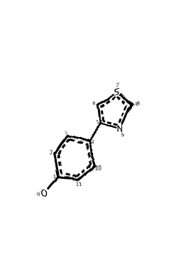 [O]c1ccc(-c2cscn2)cc1